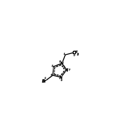 FC(F)(F)Cn1cc(Br)nn1